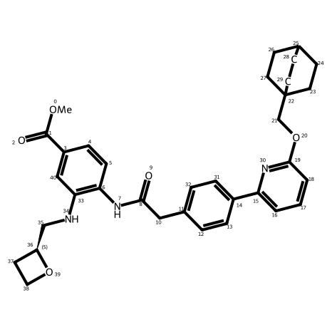 COC(=O)c1ccc(NC(=O)Cc2ccc(-c3cccc(OCC45CCC(CC4)CC5)n3)cc2)c(NC[C@@H]2CCO2)c1